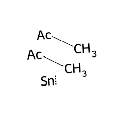 CC(C)=O.CC(C)=O.[Sn]